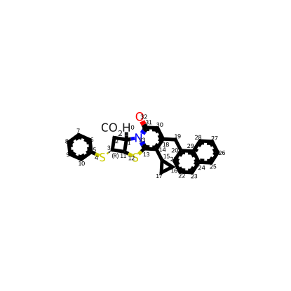 O=C(O)C12C[C@@H](Sc3ccccc3)C1Sc1c(C3CC3)c(Cc3cccc4ccccc34)cc(=O)n12